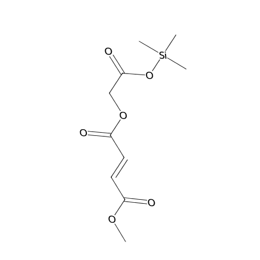 COC(=O)C=CC(=O)OCC(=O)O[Si](C)(C)C